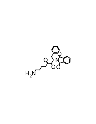 NCCCCC(=O)C(=O)C(Cc1ccccc1)N1C(=O)c2ccccc2C1=O